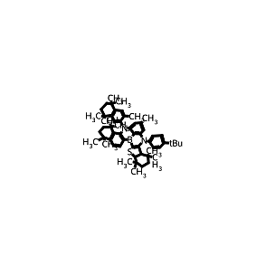 Cc1cc2c3c(c1)N(c1cc4c(cc1C)C(C)(C)CCC4(C)C)c1c(ccc4c1C(C)(C)CCC4(C)C)B3C1=C(C3C(S1)C(C)(C)CCC3(C)C)N2c1ccc(C(C)(C)C)cc1